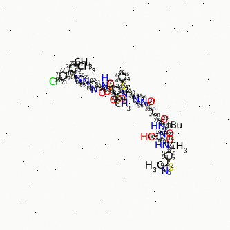 Cc1ncsc1-c1ccc([C@H](C)NC(=O)[C@@H]2C[C@@H](O)CN2C(=O)[C@@H](NC(=O)CCCCCC(=O)N2CCN(CC[C@H](CSc3ccccc3)Nc3ccc(S(=O)(=O)NC(=O)c4ccc(N5CCN(CC6=C(c7ccc(Cl)cc7)CCC(C)(C)C6)CC5)cn4)cc3S(=O)(=O)C(F)(F)F)CC2)C(C)(C)C)cc1